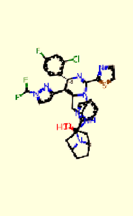 O=C(NC1CC2=C(c3ccn(C(F)F)n3)[C@H](c3ccc(F)cc3Cl)N=C(c3nccs3)N2C1)N1C2CCC1CC(O)(c1ccccn1)C2